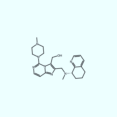 CN1CCN(c2nccc3nc(CN(C)[C@H]4CCCc5cccnc54)c(CO)n23)CC1